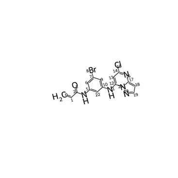 C=CC(=O)Nc1cc(Br)cc(Nc2cc(Cl)nc3ccnn23)c1